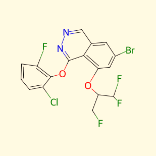 FCC(Oc1cc(Br)cc2cnnc(Oc3c(F)cccc3Cl)c12)C(F)F